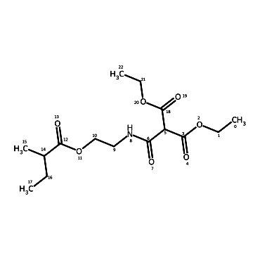 CCOC(=O)C(C(=O)NCCOC(=O)C(C)CC)C(=O)OCC